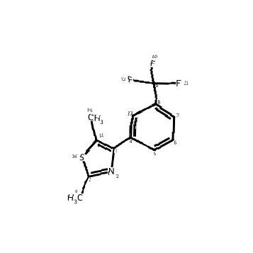 Cc1nc(-c2cccc(C(F)(F)F)c2)c(C)s1